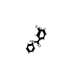 O=C(Nc1c[c]ccc1)c1cccc(F)c1